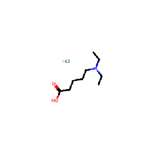 CCN(CC)CCCCC(=O)O.Cl